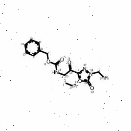 CC(C)C[C@H](NC(=O)OCc1ccccc1)C(=O)c1nn(CC(C)C)c(=O)o1